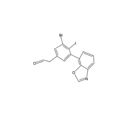 O=CCc1cc(Br)c(I)c(-c2cccc3ncoc23)c1